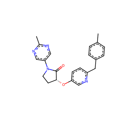 Cc1ccc(Cc2ccc(O[C@@H]3CCN(c4cnc(C)nc4)C3=O)cn2)cc1